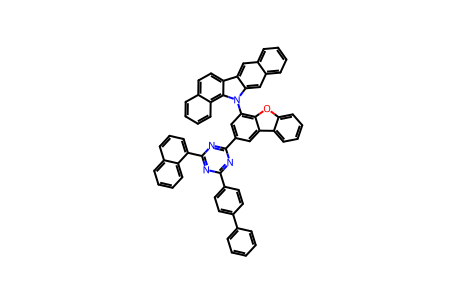 c1ccc(-c2ccc(-c3nc(-c4cc(-n5c6cc7ccccc7cc6c6ccc7ccccc7c65)c5oc6ccccc6c5c4)nc(-c4cccc5ccccc45)n3)cc2)cc1